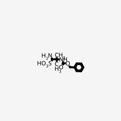 CC(C)(NC(=O)OCc1ccccc1)C(N)S(=O)(=O)O